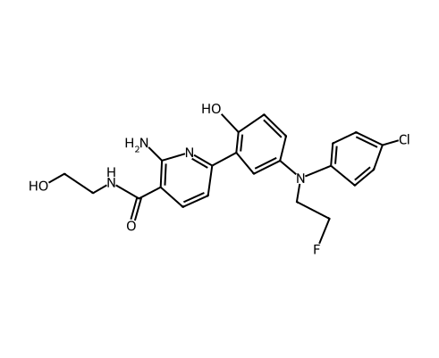 Nc1nc(-c2cc(N(CCF)c3ccc(Cl)cc3)ccc2O)ccc1C(=O)NCCO